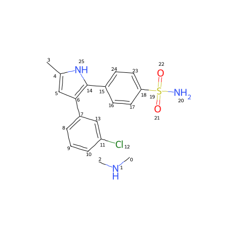 CNC.Cc1cc(-c2cccc(Cl)c2)c(-c2ccc(S(N)(=O)=O)cc2)[nH]1